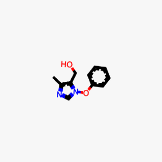 Cc1ncn(Oc2ccccc2)c1CO